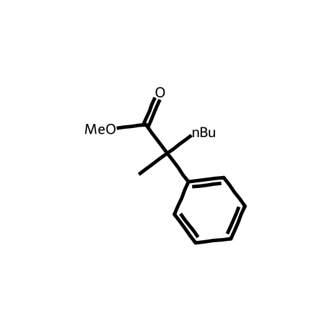 CCCCC(C)(C(=O)OC)c1ccccc1